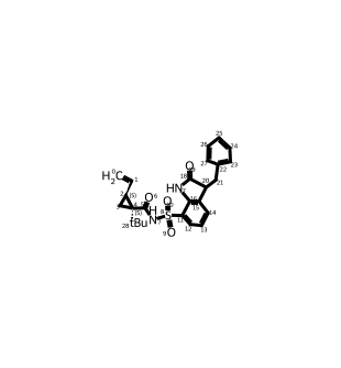 C=C[C@@H]1C[C@@]1(C(=O)NS(=O)(=O)c1cccc2c1NC(=O)C2Cc1ccccc1)C(C)(C)C